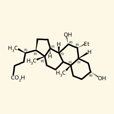 CC[C@H]1[C@@H](O)[C@@H]2C(CC[C@]3(C)[C@@H]([C@H](C)CCC(=O)O)CC[C@@H]23)[C@@]2(C)CC[C@@H](O)C[C@@H]12